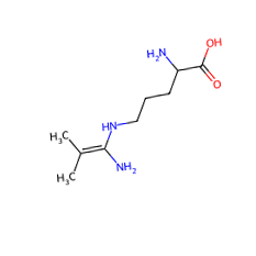 CC(C)=C(N)NCCCC(N)C(=O)O